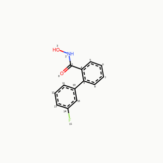 O=C(NO)c1ccccc1-c1cccc(F)c1